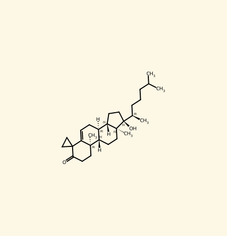 CC(C)CCC[C@@H](C)[C@@]1(O)CC[C@H]2[C@@H]3CC=C4C5(CC5)C(=O)CC[C@]4(C)[C@H]3CC[C@@]21C